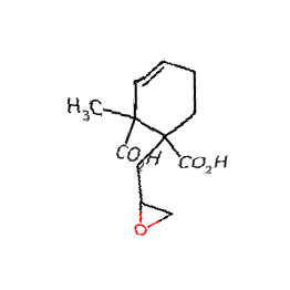 CC1(C(=O)O)C=CCCC1(CC1CO1)C(=O)O